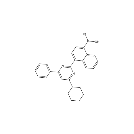 OB(O)c1ccc(-c2nc(-c3ccccc3)cc(C3CCCCC3)n2)c2ccccc12